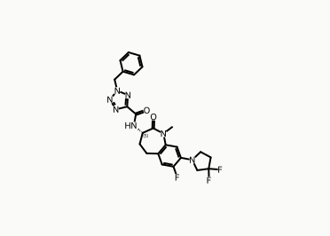 CN1C(=O)[C@@H](NC(=O)c2nnn(Cc3ccccc3)n2)CCc2cc(F)c(N3CCC(F)(F)C3)cc21